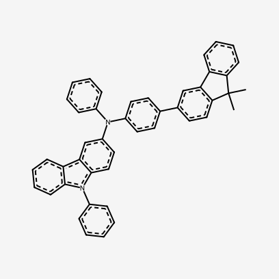 CC1(C)c2ccccc2-c2cc(-c3ccc(N(c4ccccc4)c4ccc5c(c4)c4ccccc4n5-c4ccccc4)cc3)ccc21